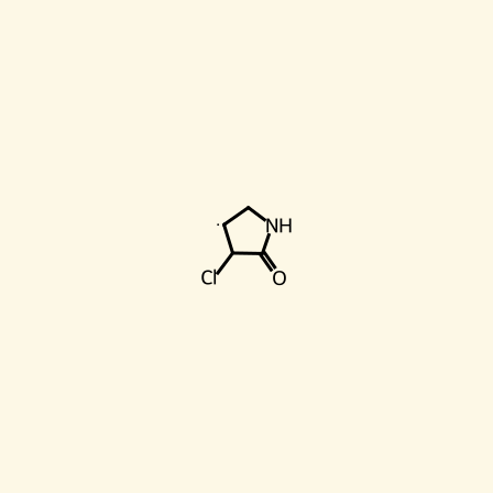 O=C1NC[CH]C1Cl